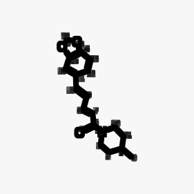 CC1CCN(C(=O)/C=C/C=C/c2ccc3c(c2)OCO3)CC1